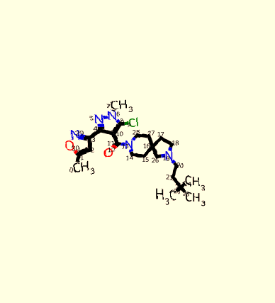 Cc1cc(-c2nn(C)c(Cl)c2C(=O)N2CCC3(CCN(CCC(C)(C)C)C3)CC2)no1